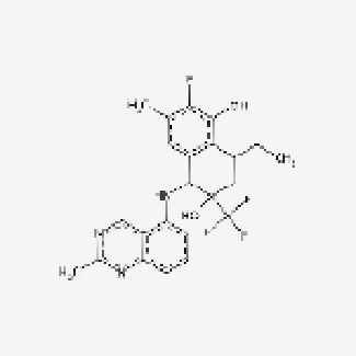 CCC1CC(O)(C(F)(F)F)C(Nc2cccc3nc(C)ncc23)c2cc(C)c(F)c(O)c21